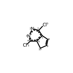 Clc1nnc(Cl)c2c1C=CC2